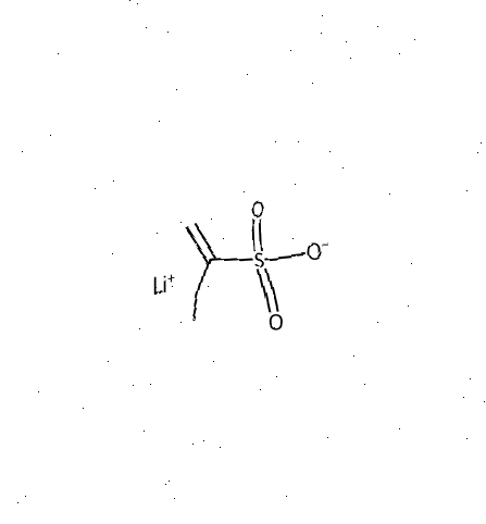 C=C(C)S(=O)(=O)[O-].[Li+]